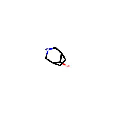 OC1C2CCC1CNC2